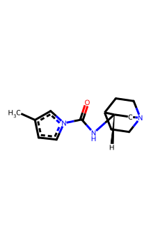 Cc1ccn(C(=O)N[C@H]2CN3CCC2CC3)c1